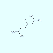 CC(C)CCC(O)CC(C)O